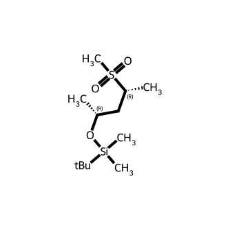 C[C@H](C[C@@H](C)S(C)(=O)=O)O[Si](C)(C)C(C)(C)C